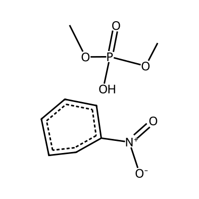 COP(=O)(O)OC.O=[N+]([O-])c1ccccc1